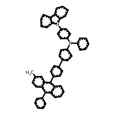 Cc1ccc2c(-c3ccccc3)c3ccccc3c(-c3ccc(-c4ccc(N(c5ccccc5)c5ccc(-n6c7ccccc7c7ccccc76)cc5)cc4)cc3)c2c1